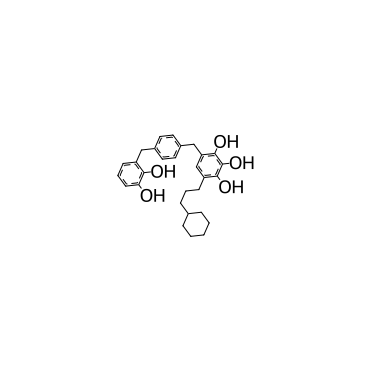 Oc1cccc(Cc2ccc(Cc3cc(CCCC4CCCCC4)c(O)c(O)c3O)cc2)c1O